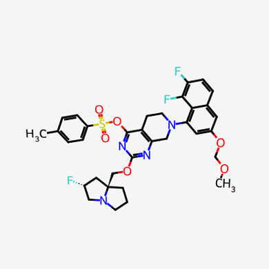 COCOc1cc(N2CCc3c(nc(OC[C@@]45CCCN4C[C@H](F)C5)nc3OS(=O)(=O)c3ccc(C)cc3)C2)c2c(F)c(F)ccc2c1